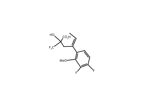 CC=C(CC(O)(C(=O)O)C(F)(F)F)c1ccc(F)c(F)c1OC